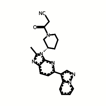 Cc1nc2ccc(-c3cnn4ccccc34)nc2n1[C@H]1CCCN(C(=O)CC#N)C1